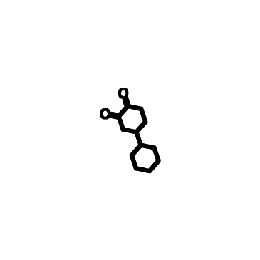 O=C1CCC(C2CCCCC2)CC1=O